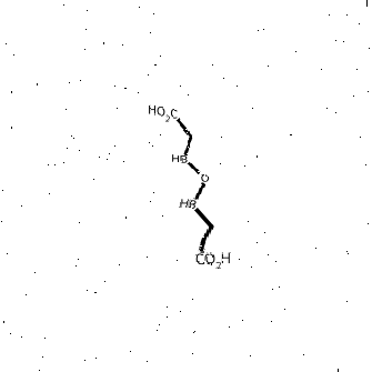 O=C(O)CBOBCC(=O)O